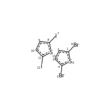 Brc1ccc(Br)s1.Ic1ccc(I)s1